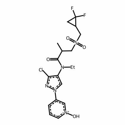 CCN(C(=O)C(C)CS(=O)(=O)CC1CC1(F)F)c1cn(-c2ccc[n+](O)c2)nc1Cl